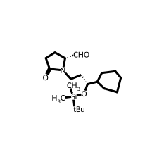 CC(C)(C)[Si](C)(C)O[C@H](CCN1C(=O)CC[C@@H]1C=O)C1CCCCC1